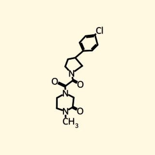 CN1CCN(C(=O)C(=O)N2CCC(c3ccc(Cl)cc3)C2)CC1=O